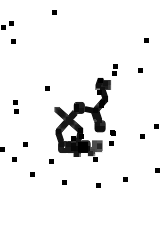 CC(=O)CC(=O)OC(C)(CC(=O)O)CC(=O)O